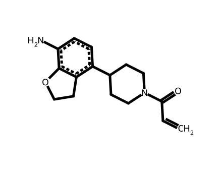 C=CC(=O)N1CCC(c2ccc(N)c3c2CCO3)CC1